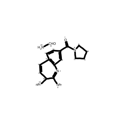 CCCC1=Nc2cc(C(=O)N3CCCC3)ccc2C=CC1CCC.NC=O